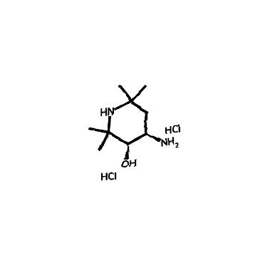 CC1(C)C[C@@H](N)[C@@H](O)C(C)(C)N1.Cl.Cl